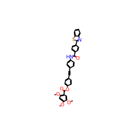 COc1cc(OC)c(C(=O)Oc2ccc(C#Cc3ccc(NC(=O)c4ccc(-c5nc6ccccc6s5)cc4)cc3)cc2)cc1OC